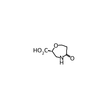 O=C1CCO[C@H](C(=O)O)CN1